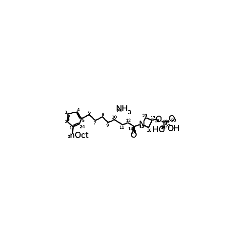 CCCCCCCCc1cccc(CCCCCCCC(=O)N2CC(OP(=O)(O)O)C2)c1.N